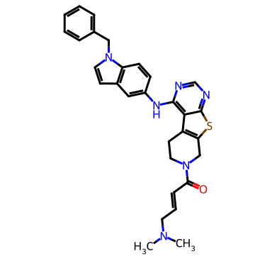 CN(C)C/C=C/C(=O)N1CCc2c(sc3ncnc(Nc4ccc5c(ccn5Cc5ccccc5)c4)c23)C1